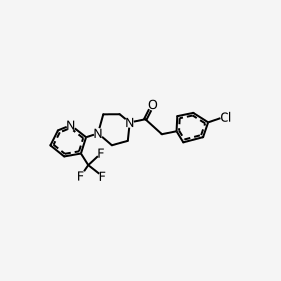 O=C(Cc1ccc(Cl)cc1)N1CCN(c2ncccc2C(F)(F)F)CC1